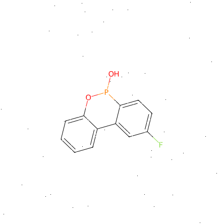 OP1Oc2ccccc2-c2cc(F)ccc21